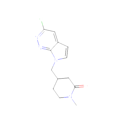 CN1CCC(Cn2ccc3cc(Cl)nnc32)CC1=O